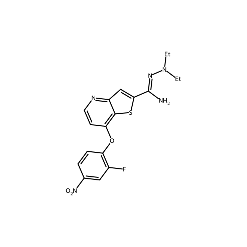 CCN(CC)N=C(N)c1cc2nccc(Oc3ccc([N+](=O)[O-])cc3F)c2s1